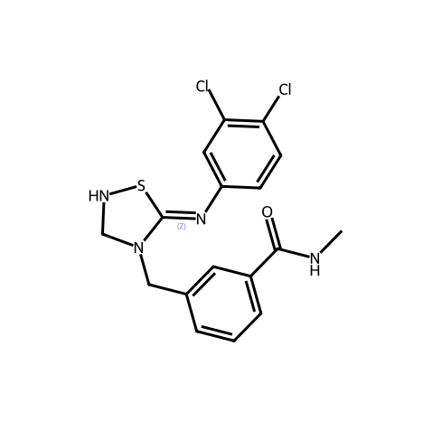 CNC(=O)c1cccc(CN2CNS/C2=N\c2ccc(Cl)c(Cl)c2)c1